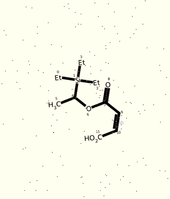 CC[Si](CC)(CC)C(C)OC(=O)/C=C\C(=O)O